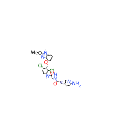 COc1nc2c(OCc3c(Cl)ccc(N(C)C(=O)CNC(=O)/C=C/c4ccc(N)nc4)c3Cl)cccc2n1C